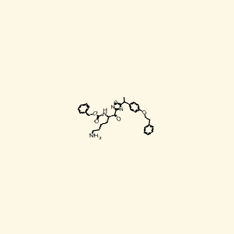 CC(c1ccc(OCCc2ccccc2)cc1)c1nc(C(=O)C(CCCCN)NC(=O)OCc2ccccc2)no1